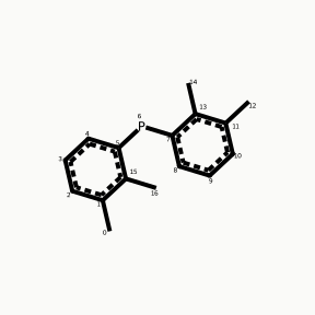 Cc1cccc([P]c2cccc(C)c2C)c1C